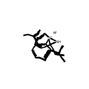 CCC12C=CC=C[N+]1(c1c(C(C)C)cccc1C(C)C)N2.[Ni]